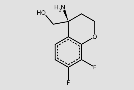 N[C@@]1(CO)CCOc2c1ccc(F)c2F